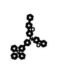 c1ccc(-c2ccc3c(c2)oc2cc(N(c4ccc(-c5ccc([Si](c6ccccc6)(c6ccccc6)c6ccccc6)cc5)cc4)c4ccc5c(c4)oc4ccccc45)ccc23)cc1